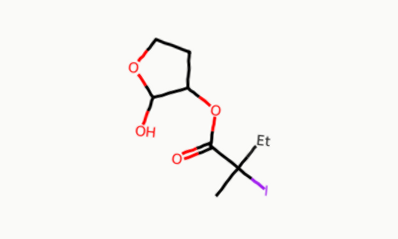 CCC(C)(I)C(=O)OC1CCOC1O